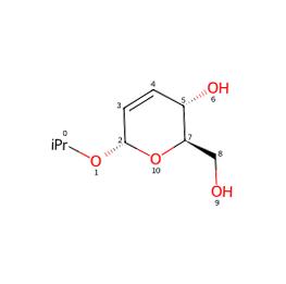 CC(C)O[C@@H]1C=C[C@H](O)[C@@H](CO)O1